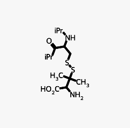 CC(C)NC(CSSC(C)(C)C(N)C(=O)O)C(=O)C(C)C